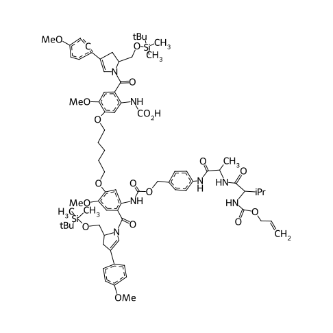 C=CCOC(=O)NC(C(=O)NC(C)C(=O)Nc1ccc(COC(=O)Nc2cc(OCCCCCOc3cc(NC(=O)O)c(C(=O)N4C=C(c5ccc(OC)cc5)CC4CO[Si](C)(C)C(C)(C)C)cc3OC)c(OC)cc2C(=O)N2C=C(c3ccc(OC)cc3)CC2CO[Si](C)(C)C(C)(C)C)cc1)C(C)C